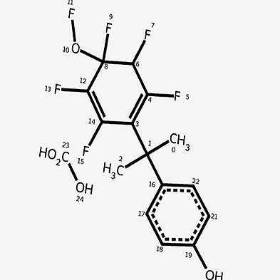 CC(C)(C1=C(F)C(F)C(F)(OF)C(F)=C1F)c1ccc(O)cc1.O=C(O)O